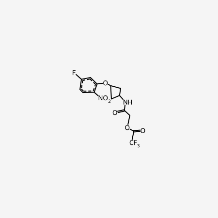 O=C(COC(=O)C(F)(F)F)NC1CC(Oc2cc(F)ccc2[N+](=O)[O-])C1